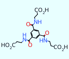 O=C(O)CCNC(=O)c1cc(C(=O)NCCC(=O)O)cc(C(=O)NCCC(=O)O)c1